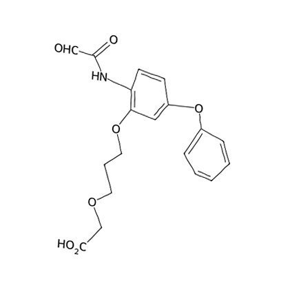 O=CC(=O)Nc1ccc(Oc2ccccc2)cc1OCCCOCC(=O)O